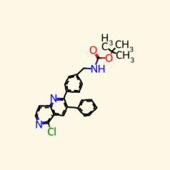 CC(C)(C)OC(=O)NCc1ccc(-c2nc3ccnc(Cl)c3cc2-c2ccccc2)cc1